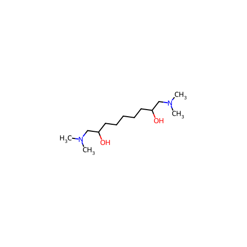 CN(C)CC(O)CCCCCC(O)CN(C)C